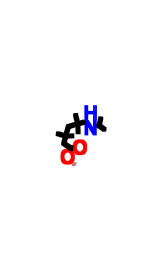 COC(=O)CC(C)(C)CC(C)(C)CNC(C)C